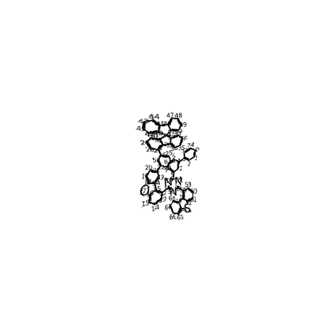 c1ccc(-c2cccc(-c3nc(-c4cccc5oc6ccc(-c7cccc(-c8cccc9c8-c8ccccc8C98c9ccccc9-c9ccccc98)c7)cc6c45)nc(-c4cccc5sc6ccccc6c45)n3)c2)cc1